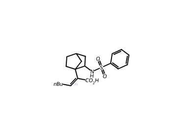 CCCC/C=C(/C(=O)O)C12CCC(CC1NS(=O)(=O)c1ccccc1)C2